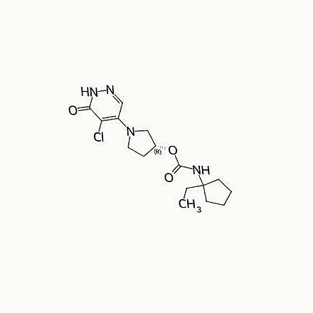 CCC1(NC(=O)O[C@@H]2CCN(c3cn[nH]c(=O)c3Cl)C2)CCCC1